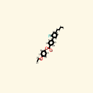 CCCCc1ccc(-c2ccc(C(=O)Oc3ccc(OCC)cc3)cc2)c(F)c1